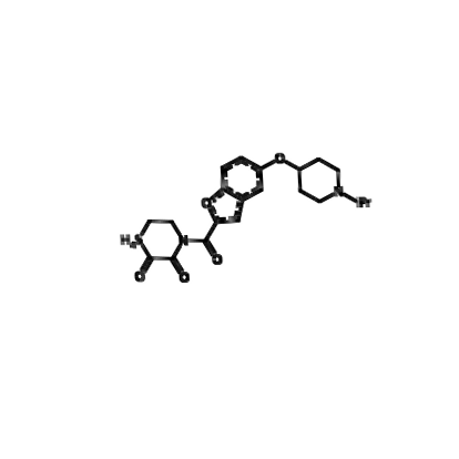 CC(C)N1CCC(Oc2ccc3oc(C(=O)N4CC[SH4]C(=O)C4=O)cc3c2)CC1